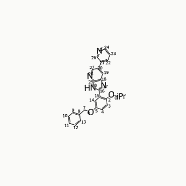 CC(C)Oc1ccc(OCc2ccccc2)cc1-c1nc2cc(-c3cccnc3)cnc2[nH]1